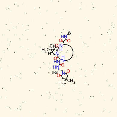 CC1(C)CC(=O)N(C[C@@H](NC(=O)N[C@H]2NCCCCCCCC[C@H](C(=O)C(=O)NC3CC3)NC(=O)[C@@H]3[C@@H]4[C@H](CN3C2=O)C4(C)C)C(C)(C)C)C(=O)C1